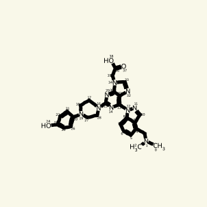 CN(C)Cc1cccc2c1cnn2-c1nc(N2CCN(c3ccc(O)cc3)CC2)nc2c1ncn2CC(=O)O